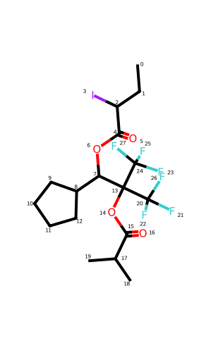 CCC(I)C(=O)OC(C1CCCC1)C(OC(=O)C(C)C)(C(F)(F)F)C(F)(F)F